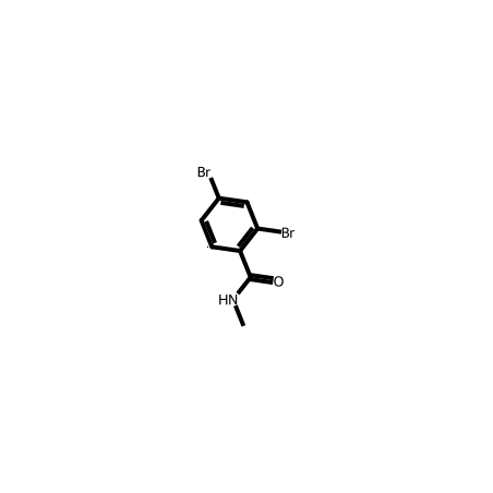 CNC(=O)c1[c]cc(Br)cc1Br